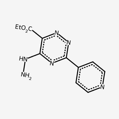 CCOC(=O)c1nnc(-c2ccncc2)nc1NN